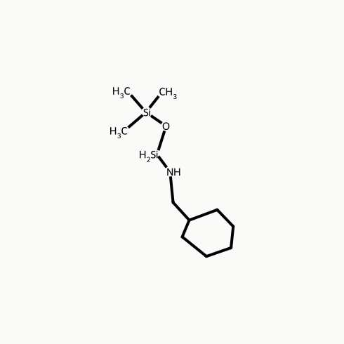 C[Si](C)(C)O[SiH2]NCC1CCCCC1